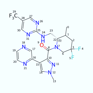 CC1CC(F)(F)CN(C(=O)c2nn(C)cc2-c2cnccn2)[C@@H]1CNc1ncc(C(F)(F)F)cn1